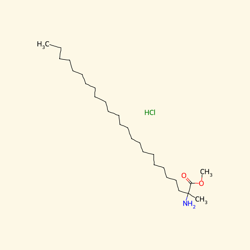 CCCCCCCCCCCCCCCCCCCCCCCC(C)(N)C(=O)OC.Cl